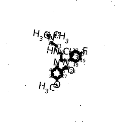 COc1ccc2nc(C(C)NCCN(C)C)n(-c3ccc(F)cc3)c(=O)c2c1